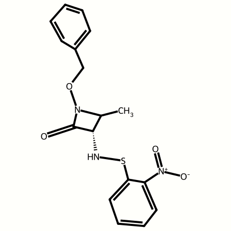 CC1[C@H](NSc2ccccc2[N+](=O)[O-])C(=O)N1OCc1ccccc1